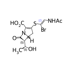 CC(=O)N/C=C(\Br)SC1=C(C(=O)O)N2C(=O)[C@H]([C@H](C)O)[C@H]2C1